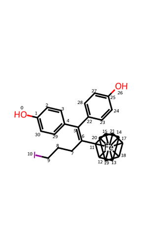 Oc1ccc(C(=C(CCCI)[C]23[CH]4[CH]5[CH]6[CH]2[Fe]56432789[CH]3[CH]2[CH]7[CH]8[CH]39)c2ccc(O)cc2)cc1